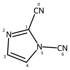 N#Cc1nccn1C#N